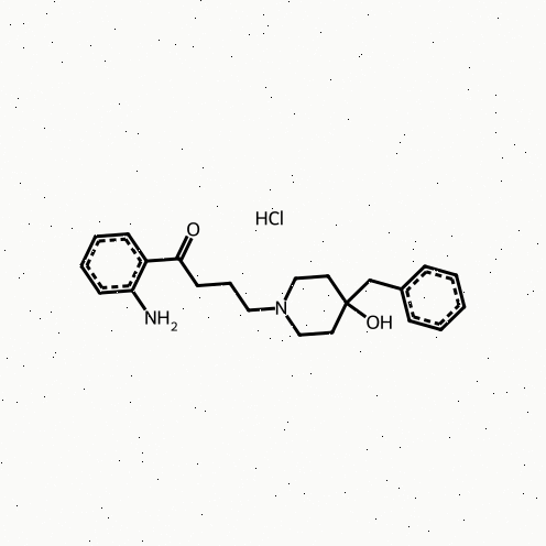 Cl.Nc1ccccc1C(=O)CCCN1CCC(O)(Cc2ccccc2)CC1